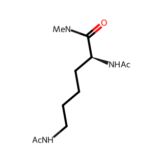 CNC(=O)[C@H](CCCCNC(C)=O)NC(C)=O